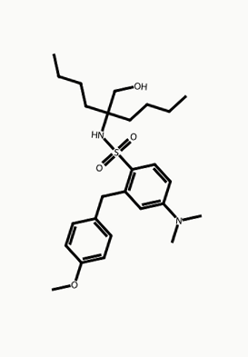 CCCCC(CO)(CCCC)NS(=O)(=O)c1ccc(N(C)C)cc1Cc1ccc(OC)cc1